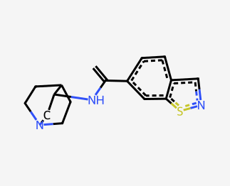 C=C(NC1CN2CCC1CC2)c1ccc2cnsc2c1